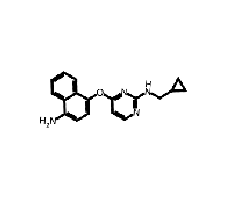 Nc1ccc(Oc2ccnc(NCC3CC3)n2)c2ccccc12